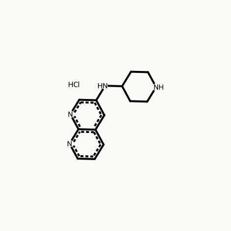 Cl.c1cnc2ncc(NC3CCNCC3)cc2c1